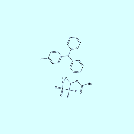 CC(C)(C)C(=O)OC(C(F)(F)F)C(F)(F)S(=O)(=O)[O-].Fc1ccc([S+](c2ccccc2)c2ccccc2)cc1